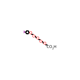 O=C(O)CCOCCOCCOCCOCCOc1ccc(I)cc1